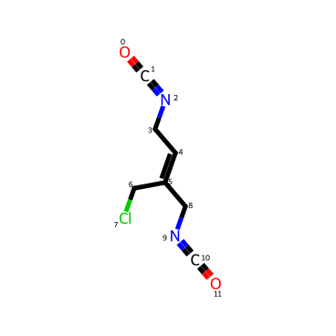 O=C=NCC=C(CCl)CN=C=O